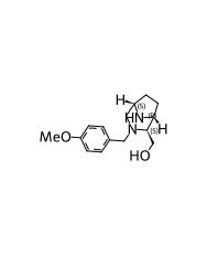 COc1ccc(CN2C[C@@H]3CC[C@@H](N3)[C@H]2CO)cc1